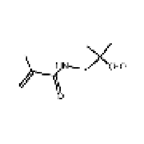 C=C(C)C(=O)NCC(C)(C)C=O